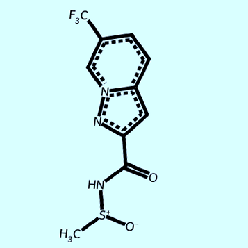 C[S+]([O-])NC(=O)c1cc2ccc(C(F)(F)F)cn2n1